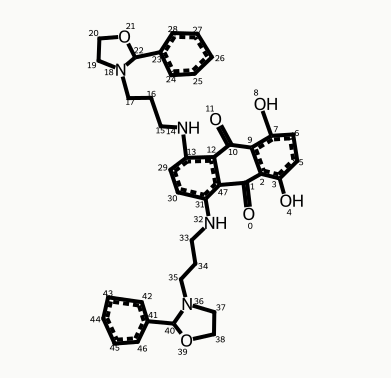 O=C1c2c(O)ccc(O)c2C(=O)c2c(NCCCN3CCOC3c3ccccc3)ccc(NCCCN3CCOC3c3ccccc3)c21